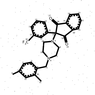 Cc1ccc(CN2CCN(C3(c4cccc(C(F)(F)F)c4)C(=O)c4ccccc4C3=O)CC2)c(C)c1